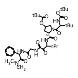 CCCC(NC(=O)[C@@H]1CC(OC(=O)C(C)(C)C)CN1C(=O)C(NC(=O)OC(C)(C)C)C(C)(C)C)C(=O)C(=O)NCC(=O)NC(C(=O)N(C)C)c1ccccc1